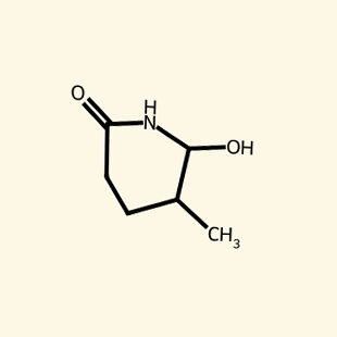 CC1CCC(=O)NC1O